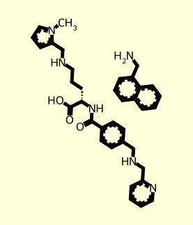 Cn1cccc1CNCCC[C@H](NC(=O)c1ccc(CNCc2ccccn2)cc1)C(=O)O.NCc1cccc2ccccc12